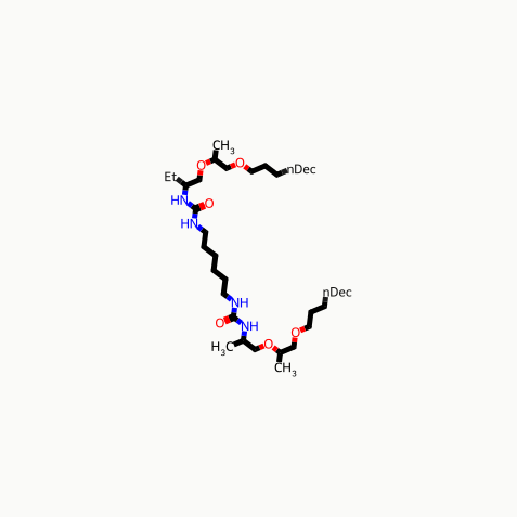 CCCCCCCCCCCCCOCC(C)OCC(C)NC(=O)NCCCCCCNC(=O)NC(CC)COC(C)COCCCCCCCCCCCCC